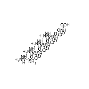 COc1ccc(CC(=O)[C@@H](CCCNC(=N)N)NC(=O)c2cc(CC(=O)[C@@H](CCCNC(=N)N)NC(=O)c3cc(CC(=O)[C@@H](CCCNC(=N)N)NC(=O)c4cc(CC(=O)[C@H](N)CCCNC(=N)N)ccc4OC)ccc3OC)ccc2OC)cc1C(=O)NCCC(=O)O